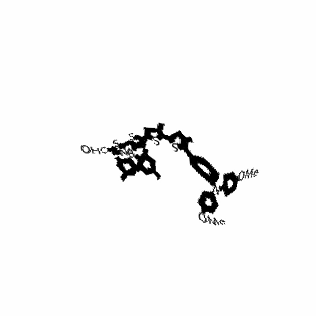 COc1ccc(N(c2ccc(OC)cc2)c2ccc(-c3sc(-c4sc(-c5cc6c(s5)-c5sc(C=O)c[n+]5[B-]6(c5c(C)cc(C)cc5C)c5c(C)cc(C)cc5C)cc4C)cc3C)cc2)cc1